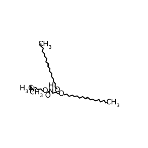 CCCCCCCCC=CCCCCCCCCOCC(CNC(=O)OCCCCN(C)C)OCCCCCCCCC=CCCCCCCCC